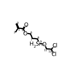 C=C(C)C(=O)OCCC[SiH2]OCC(Cl)Cl